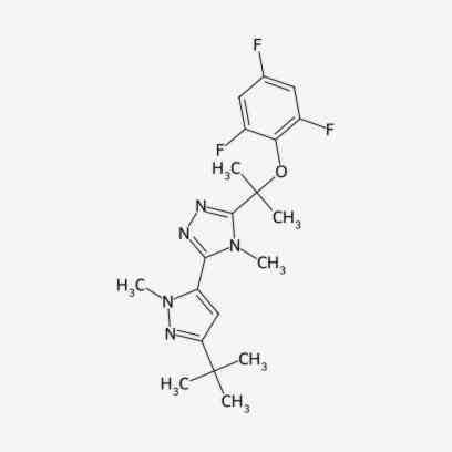 Cn1nc(C(C)(C)C)cc1-c1nnc(C(C)(C)Oc2c(F)cc(F)cc2F)n1C